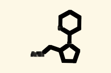 CC(=O)NCC1CCCN1C1CCCCO1